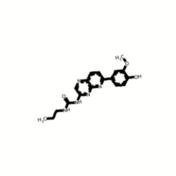 CCCNC(=O)Nc1cnc2ccc(-c3ccc(O)c(OC)c3)nc2n1